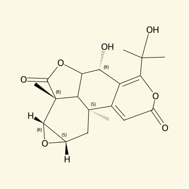 CC(C)(O)c1oc(=O)cc2c1[C@@H](O)C1OC(=O)[C@]3(C)C1[C@]2(C)C[C@@H]1O[C@@H]13